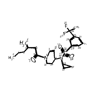 CCCC(C)CC(=O)N1CCC(N(C2CC2)S(=O)(=O)c2cccc(C(F)(F)F)c2)CC1